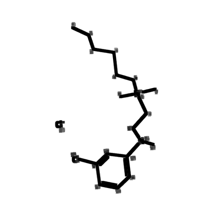 CCCCCC[N+](C)(C)CCN(C)c1cccc(Cl)c1.[Cl-]